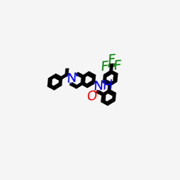 CC(c1ccccc1)N1CCc2cc(NC(=O)c3ccccc3-c3ccc(C(F)(F)F)cc3)ccc2C1